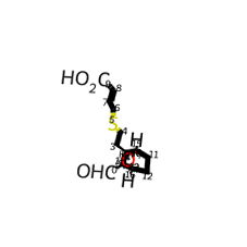 O=C[C@H]1[C@@H](CCSCC=CC(=O)O)[C@H]2CC[C@@H]1O2